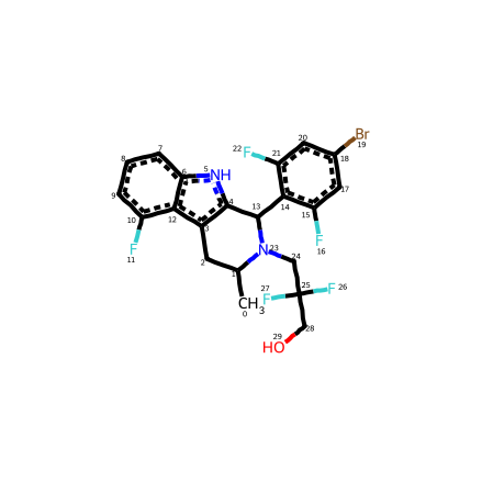 CC1Cc2c([nH]c3cccc(F)c23)C(c2c(F)cc(Br)cc2F)N1CC(F)(F)CO